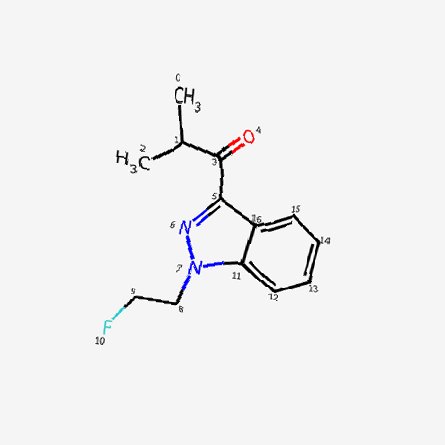 CC(C)C(=O)c1nn(CCF)c2ccccc12